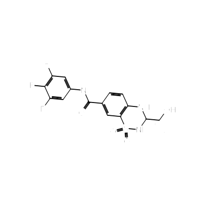 C[C@@H](O)C1Nc2ccc(C(=O)Nc3cc(F)c(F)c(F)c3)cc2S(=O)(=O)N1